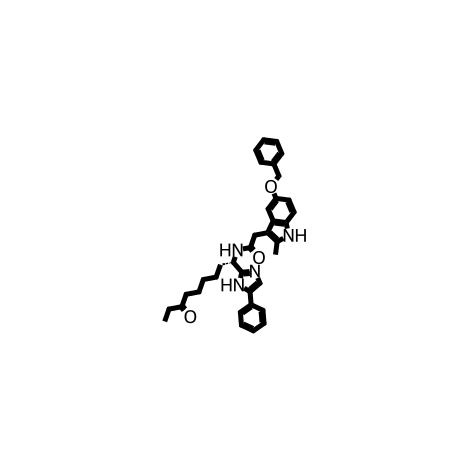 CCC(=O)CCCCC[C@H](NC(=O)Cc1c(C)[nH]c2ccc(OCc3ccccc3)cc12)c1ncc(-c2ccccc2)[nH]1